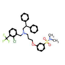 CN(C)S(=O)(=O)c1cccc(OCCCN(Cc2cccc(C(F)(F)F)c2Cl)CC(c2ccccc2)c2ccccc2)c1